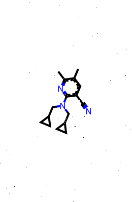 Cc1cc(C#N)c(N(CC2CC2)CC2CC2)nc1C